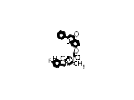 C[C@@H]1CN(Cc2ccc(F)cc2)[C@@H](C)CN1C(=O)COc1ccc2c(=O)cc(-c3ccccc3)oc2c1